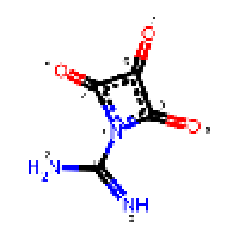 N=C(N)n1c(=O)c(=O)c1=O